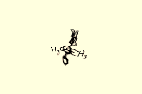 Cc1cc(-c2ccccc2)cc(C)c1OCCCc1cc(CBr)no1